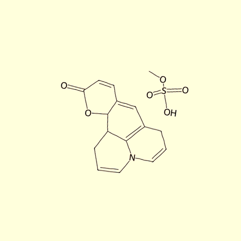 COS(=O)(=O)O.O=C1C=CC2=CC3=C4C(CC=CN4C=CC3)C2O1